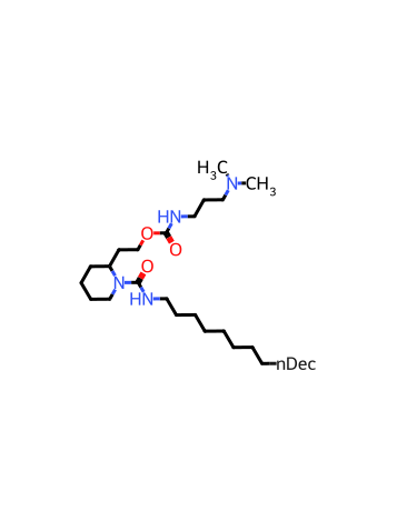 CCCCCCCCCCCCCCCCCCNC(=O)N1CCCCC1CCOC(=O)NCCCN(C)C